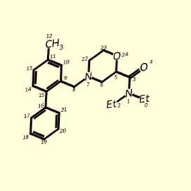 CCN(CC)C(=O)C1CN(Cc2cc(C)ccc2-c2ccccc2)CCO1